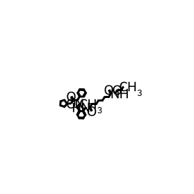 CCONC(=O)CCCCCCC(=O)Nc1ccccc1CN(C)[C@H](C(=O)OC1CCCC1)c1ccccc1